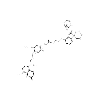 COc1cc(OCC(=O)NCCCc2cccc(C3(C(=O)O[C@H]4CN5CCC4CC5)CCCCC3)c2)c(Cl)cc1CNC[C@@H](O)c1ccc(O)c2[nH]c(=O)ccc12